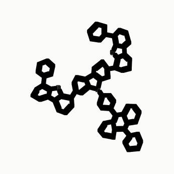 c1ccc(-c2c3ccccc3c(-c3ccc(-n4c5cc(-c6cccc7c6oc6c(-c8ccccc8)cccc67)ccc5c5ccc(-c6cccc7c6oc6c(-c8ccccc8)cccc67)cc54)cc3)c3ccccc23)cc1